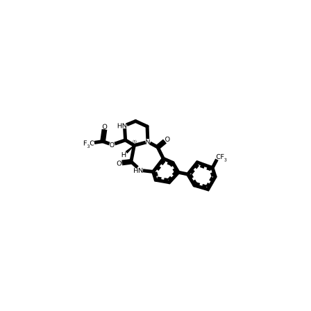 O=C1Nc2ccc(-c3cccc(C(F)(F)F)c3)cc2C(=O)N2CCNC(OC(=O)C(F)(F)F)[C@@H]12